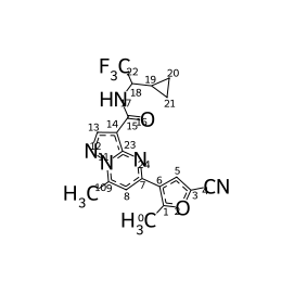 Cc1oc(C#N)cc1-c1cc(C)n2ncc(C(=O)NC(C3CC3)C(F)(F)F)c2n1